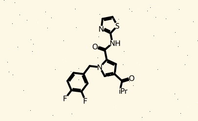 CC(C)C(=O)c1cc(C(=O)Nc2nccs2)n(Cc2ccc(F)c(F)c2)c1